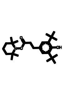 CC(C)(C)c1cc(CCC(=O)ON2C(C)(C)CCCC2(C)C)cc(C(C)(C)C)c1O